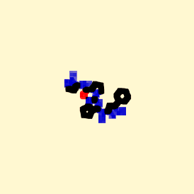 O=C(Nc1ccn[nH]1)C1CCCN1c1nc2c(c(Nc3cc(C4CCCCC4)[nH]n3)n1)CCC2